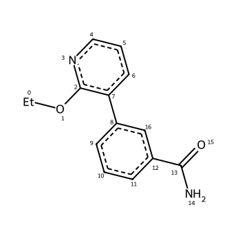 CCOc1ncccc1-c1cccc(C(N)=O)c1